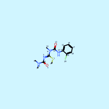 CSC(=NC(=O)N(C)C)N(C)C(=O)Nc1ccccc1F